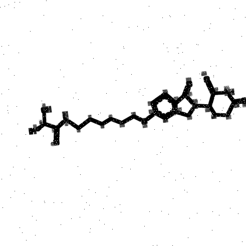 CC(C)[C@@H](O)C(=O)NCCCCCCOc1ccc2c(c1)CN(C1CCC(=O)NC1=O)C2=O